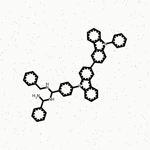 NC(NC(NCc1ccccc1)c1ccc(-n2c3ccccc3c3cc(-c4ccc5c(c4)c4ccccc4n5-c4ccccc4)ccc32)cc1)c1ccccc1